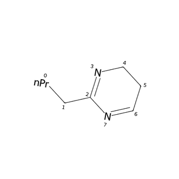 CCCCC1=NCCC=N1